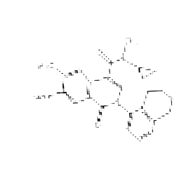 COc1cc2c(C(=O)N(C)C3CC3)cn(-c3cccc4c3CCCC4)c(=O)c2cc1OC